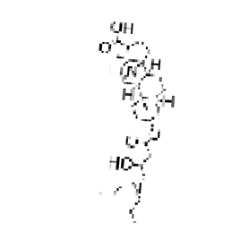 CCCN(CCC)CC(O)CC(=O)O[C@H]1CC[C@@]2(C)[C@H](CC[C@@H]3[C@@H]2CC[C@]2(C)[C@@H](C(=O)O)CC[C@]32N)C1